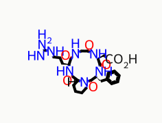 N=C(N)NCCC[C@@H]1NC(=O)[C@@H]2CCCCN2C(=O)[C@@H](Cc2ccccc2)NC(=O)[C@H](CC(=O)O)NC(=O)CNC1=O